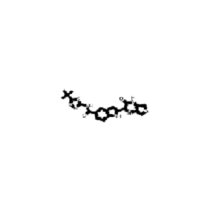 CC(C)(C)c1nnc(NC(=O)c2ccc3[nH]c(-c4nc5cscc5[nH]c4=O)cc3c2)s1